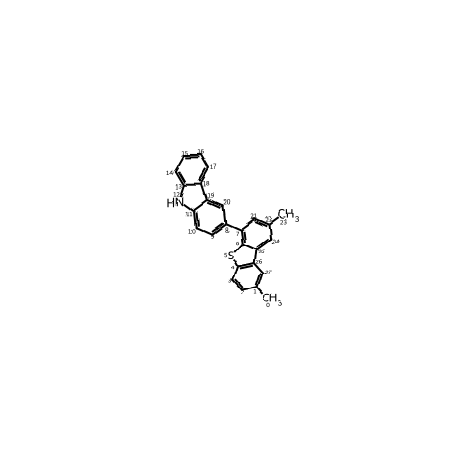 Cc1ccc2sc3c(-c4ccc5[nH]c6ccccc6c5c4)cc(C)cc3c2c1